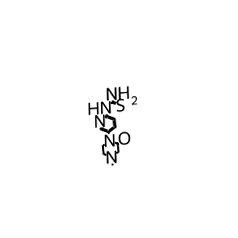 CN1CCN(c2ccc(NC(N)=S)nc2)C(=O)C1